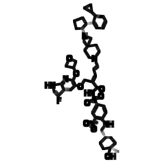 C[C@]1(O)CC[C@H](CNc2ccc(S(=O)(=O)NC(=O)/C(=C/C=C/N3CCC4(CC3)CN([C@@H]3CCC[C@@H]3c3ccccc3C3CC3)C4)COc3cc4c(F)c[nH]c4nc3OC3COC3)cc2[N+](=O)[O-])CC1